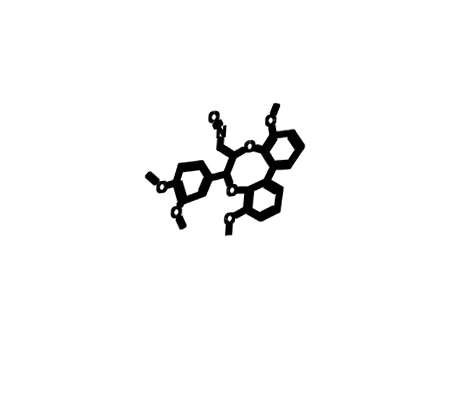 COc1ccc(C2Oc3c(OC)cccc3-c3cccc(OC)c3OC2CN=O)cc1OC